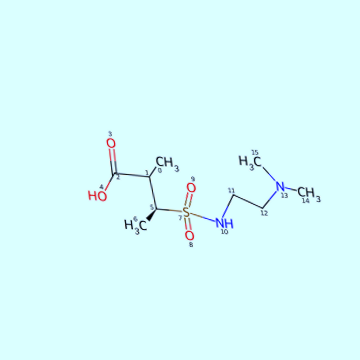 CC(C(=O)O)[C@H](C)S(=O)(=O)NCCN(C)C